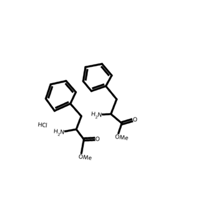 COC(=O)C(N)Cc1ccccc1.COC(=O)C(N)Cc1ccccc1.Cl